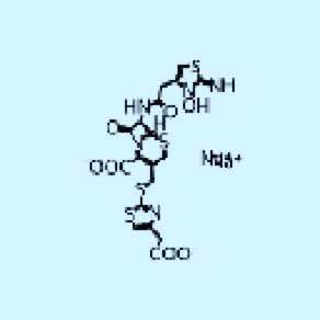 N=c1scc(CC(=O)NC2C(=O)N3C(C(=O)[O-])=C(CSc4nc(CC(=O)[O-])cs4)CS[C@@H]23)n1O.[Na+].[Na+]